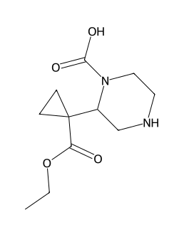 CCOC(=O)C1(C2CNCCN2C(=O)O)CC1